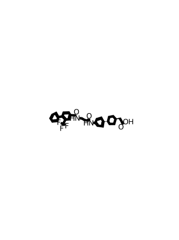 O=C(O)C[C@H]1CC[C@H](c2ccc(NC(=O)CCNC(=O)c3ccc(-c4ccccc4)c(C(F)(F)F)c3)cc2)CC1